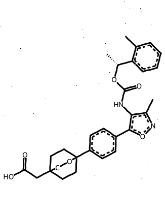 Cc1ccccc1[C@@H](C)OC(=O)Nc1c(C)noc1-c1ccc(C23CCC(CC(=O)O)(CC2)CO3)cc1